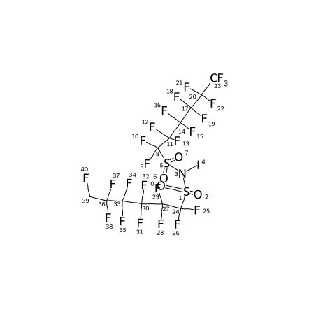 O=S(=O)(N(I)S(=O)(=O)C(F)(F)C(F)(F)C(F)(F)C(F)(F)C(F)(F)C(F)(F)F)C(F)(F)C(F)(F)C(F)(F)C(F)(F)C(F)(F)CF